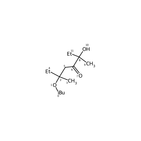 CCC(C)OC(C)(CC)CC(=O)C(C)(O)CC